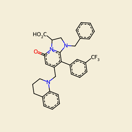 O=C(O)C1CN(Cc2ccccc2)c2c(-c3cccc(C(F)(F)F)c3)c(CN3CCCc4ccccc43)cc(=O)n21